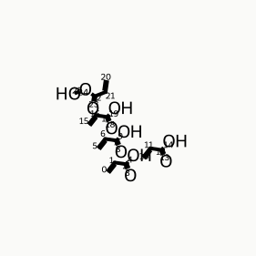 C=CC(=O)O.C=CC(=O)O.C=CC(=O)O.C=CC(=O)O.C=CC(=O)OO